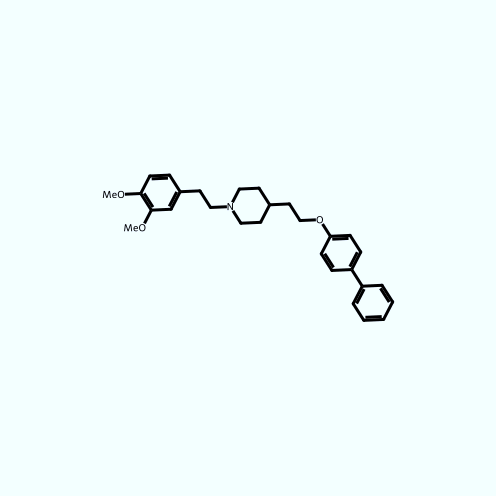 COc1ccc(CCN2CCC(CCOc3ccc(-c4ccccc4)cc3)CC2)cc1OC